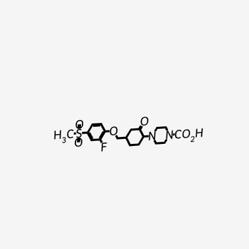 CS(=O)(=O)c1ccc(OCC2CCC(N3CCN(C(=O)O)CC3)C(=O)C2)c(F)c1